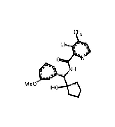 COc1cccc(C(NC(=O)c2nccc(C(F)(F)F)c2Cl)C2(O)CCCC2)c1